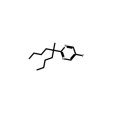 CCCCC(C)(CCCC)c1ncc(F)cn1